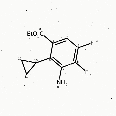 CCOC(=O)c1cc(F)c(F)c(N)c1C1CC1